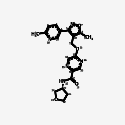 Cc1ccc(-c2noc(C)c2COc2cnc(C(=O)N[C@@H]3CCOC3)cn2)cn1